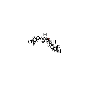 O=C(CCOc1ccc(Cl)c(F)c1)NC12CC(NC(=O)COc3ccc(Cl)c(F)c3)(C1)C2